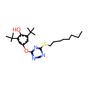 CCCCCCCCSc1ncnc(Oc2cc(C(C)(C)C)c(O)c(C(C)(C)C)c2)n1